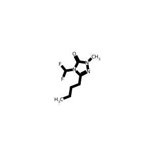 CCCCc1nn(C)c(=O)n1C(F)F